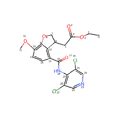 CCOC(=O)CC1COc2c(OC)ccc(C(=O)Nc3c(Cl)cncc3Cl)c21